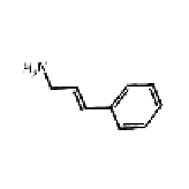 NCC=Cc1ccccc1